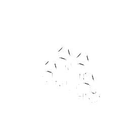 COc1nc(-c2cccc(-c3cccc(-c4ccc5c(c4)C(N)CC5)c3Cl)c2Cl)ccc1C1=NCCN1